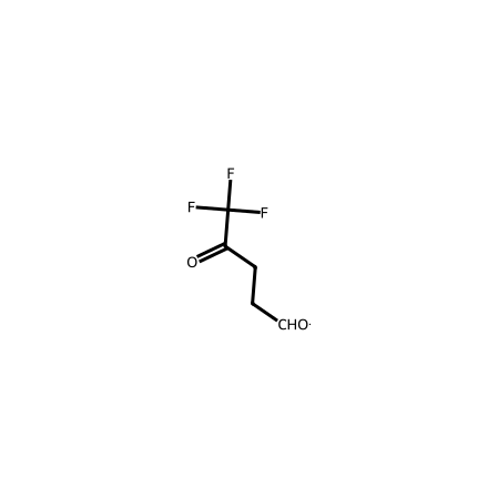 O=[C]CCC(=O)C(F)(F)F